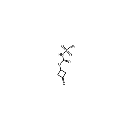 CCCS(=O)(=O)NC(=O)OC1CC(=O)C1